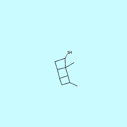 CC1CC2C3CC(S)C3(C)C12